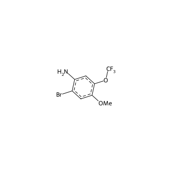 COc1cc(Br)c(N)cc1OC(F)(F)F